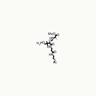 COC(=O)[C@H](C)NCO[C@@H](C(=O)NCCC(=O)NCCSC(C)=O)C(C)(C)COP